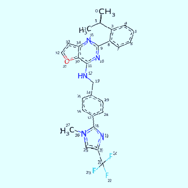 CC(C)c1ccccc1-c1nc(NCc2ccc(-c3nc(C(F)(F)F)cn3C)cc2)c2occc2n1